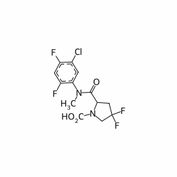 CN(C(=O)C1CC(F)(F)CN1C(=O)O)c1cc(Cl)c(F)cc1F